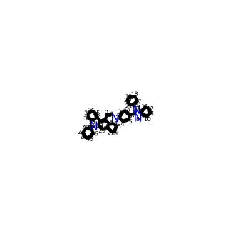 C1=CN(c2ccc(-c3nc4ccccc4n3-c3ccccc3)cc2)c2cccc3cc4c(c1c23)c1ccccc1n4-c1ccccc1